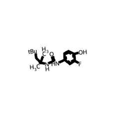 CC(C)(C)CC(C)(C)NC(=O)Nc1ccc(O)c(F)c1